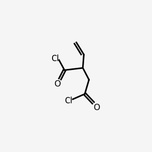 C=CC(CC(=O)Cl)C(=O)Cl